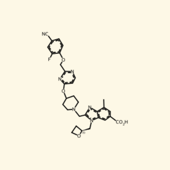 Cc1cc(C(=O)O)cc2c1nc(CN1CCC(Oc3ccnc(COc4ccc(C#N)cc4F)n3)CC1)n2C[C@@H]1CCO1